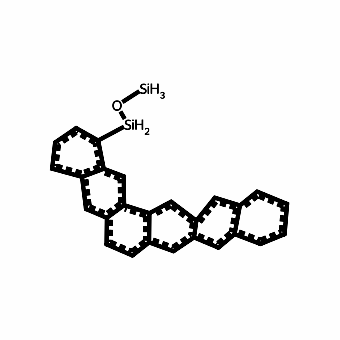 [SiH3]O[SiH2]c1cccc2cc3ccc4cc5cc6ccccc6cc5cc4c3cc12